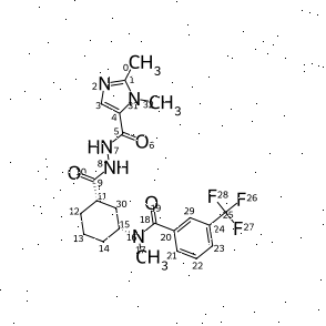 Cc1ncc(C(=O)NNC(=O)[C@H]2CCC[C@@H](N(C)C(=O)c3cccc(C(F)(F)F)c3)C2)n1C